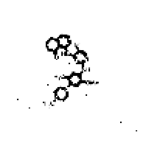 COc1cc(N2CCN(C)CC2)c(C)cc1Nc1ncc(Br)c(Nc2cccc3c2C(=O)CCC3)n1